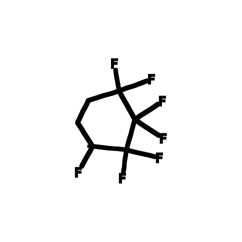 F[C]1CCC(F)(F)C(F)(F)C1(F)F